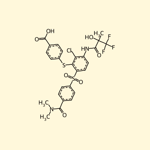 CN(C)C(=O)c1ccc(S(=O)(=O)c2ccc(NC(=O)C(C)(O)C(F)(F)F)c(Cl)c2Sc2ccc(C(=O)O)cc2)cc1